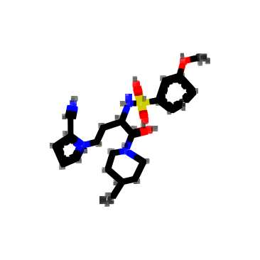 COc1cccc(S(=O)(=O)NC(CCn2cccc2C#N)C(=O)N2CCC(C)CC2)c1